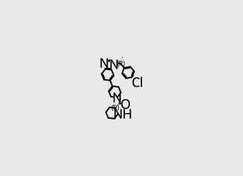 C[C@H](c1ccc(Cl)cc1)n1cnc2ccc(C3=CCN(C(=O)[C@H]4CCCCN4)CC3)cc21